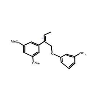 C/C=C(\COc1cccc([N+](=O)[O-])c1)c1cc(OC)cc(OC)c1